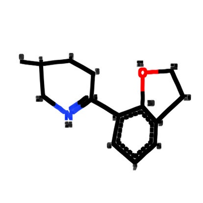 CC1CCC(c2cccc3c2OCC3)=NC1